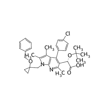 Cc1nc2c(c(C)c(C)n2CC2(OCc3ccccc3)CC2)c(-c2ccc(Cl)cc2)c1[C@H](OC(C)(C)C)C(=O)O